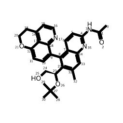 CC(=O)Nc1ccc2c(-c3ccc4c5c(ccnc35)CCO4)c([C@H](CO)OC(C)(C)C)c(C)cc2n1